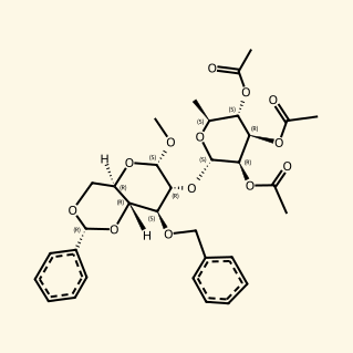 CO[C@H]1O[C@@H]2CO[C@@H](c3ccccc3)O[C@H]2[C@H](OCc2ccccc2)[C@H]1O[C@@H]1O[C@@H](C)[C@H](OC(C)=O)[C@@H](OC(C)=O)[C@H]1OC(C)=O